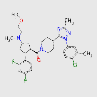 COCCN(C)C1C[C@@H](C(=O)N2CCC(c3nc(C)nn3-c3ccc(Cl)c(C)c3)CC2)[C@H](c2ccc(F)cc2F)C1